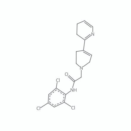 O=C(CN1CC=C(C2=NC=CCC2)CC1)Nc1c(Cl)cc(Cl)cc1Cl